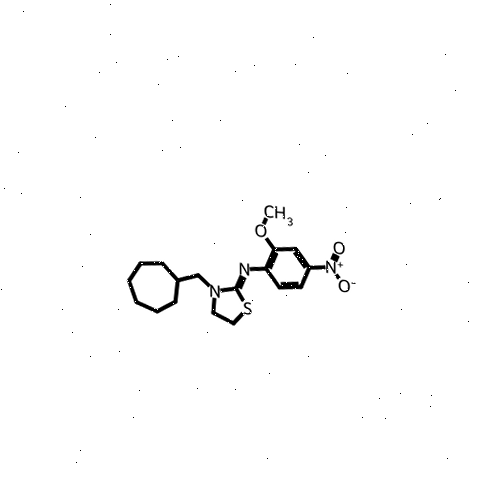 COc1cc([N+](=O)[O-])ccc1N=C1SCCN1CC1CCCCCC1